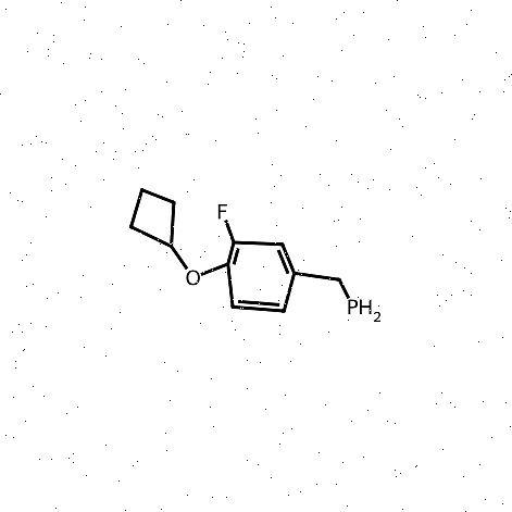 Fc1cc(CP)ccc1OC1CCC1